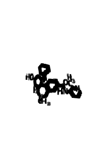 Cc1ncccc1NC(=O)c1ccc2c(c1)CN(C)C[C@H]1C[C@@H](O)CC[C@@]21Cc1ccccc1